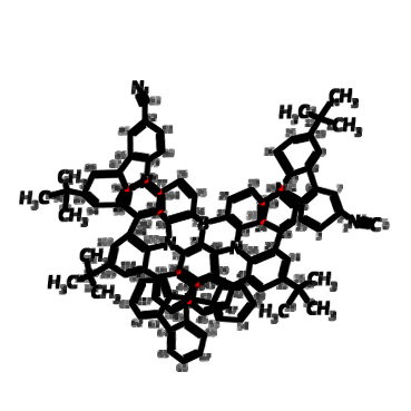 [C-]#[N+]c1ccc2c(c1)c1cc(C(C)(C)C)ccc1n2-c1ccc2c(c1)N(c1c(-c3ccccc3)cc(C(C)(C)C)cc1-c1ccccc1)c1cc(C3(c4ccccc4)c4ccccc4-c4ccccc43)cc3c1B2c1ccc(-n2c4ccc(C#N)cc4c4cc(C(C)(C)C)ccc42)cc1N3c1c(-c2ccccc2)cc(C(C)(C)C)cc1-c1ccccc1